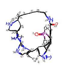 CP(C)(=O)c1c2ccc3c(c[nH]c13)-c1nc(ncc1C(F)(F)F)N[C@H]1CN[C@@H](CCCCCNC2=O)C1